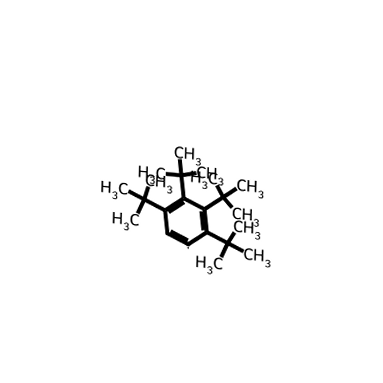 CC(C)(C)c1[c]cc(C(C)(C)C)c(C(C)(C)C)c1C(C)(C)C